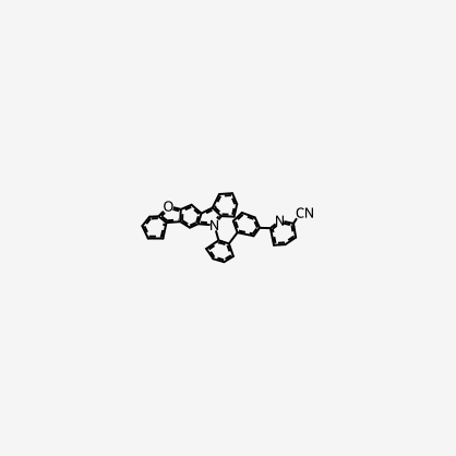 N#Cc1cccc(-c2cccc(-c3ccccc3-n3c4ccccc4c4cc5oc6ccccc6c5cc43)c2)n1